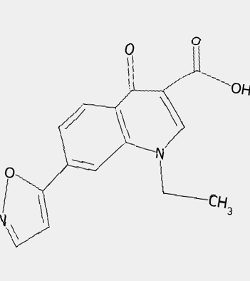 CCn1cc(C(=O)O)c(=O)c2ccc(-c3ccno3)cc21